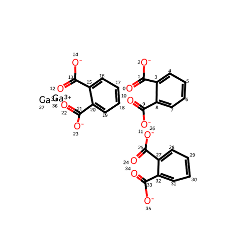 O=C([O-])c1ccccc1C(=O)[O-].O=C([O-])c1ccccc1C(=O)[O-].O=C([O-])c1ccccc1C(=O)[O-].[Ga+3].[Ga+3]